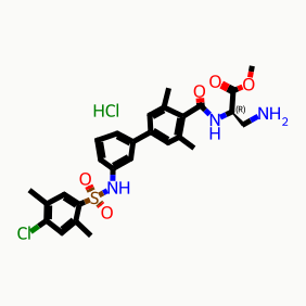 COC(=O)[C@@H](CN)NC(=O)c1c(C)cc(-c2cccc(NS(=O)(=O)c3cc(C)c(Cl)cc3C)c2)cc1C.Cl